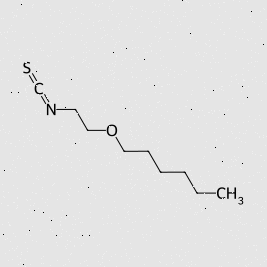 CCCCCCOCCN=C=S